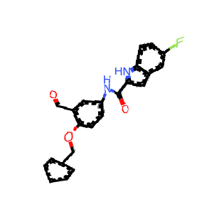 O=Cc1cc(NC(=O)c2cc3cc(F)ccc3[nH]2)ccc1OCc1ccccc1